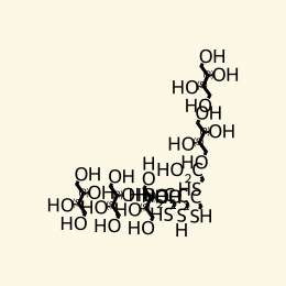 O=C(O)CS.O=C(O)CS.O=C(O)CS.O=C(O)CS.OC[C@@H](O)[C@@H](O)CO.OC[C@@H](O)[C@@H](O)CO.OC[C@@H](O)[C@@H](O)CO.OC[C@@H](O)[C@@H](O)CO.OC[C@@H](O)[C@@H](O)CO